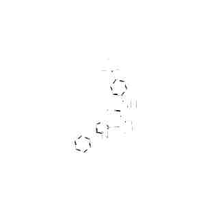 O=C(Nc1ccc(C(F)(F)F)cc1)N1CCCC1c1nc(-c2ccccc2)cs1